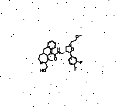 COCCN1C[C@@H](CNC(=O)NC2=C(C)C(CO)=NCCC2Cc2ccccc2)[C@H](c2ccc(F)c(F)c2)O1